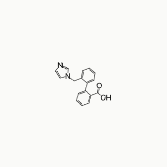 O=C(O)c1ccccc1-c1ccccc1Cn1ccnc1